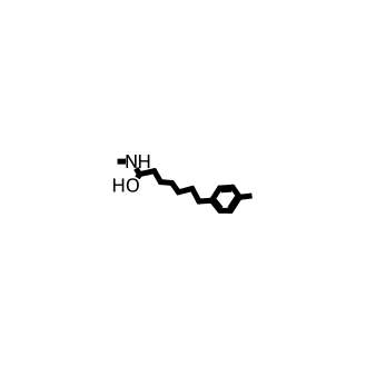 CNC(O)CCCCCCc1ccc(C)cc1